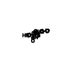 O=COC(CC1CCNCC1)c1ncnc(Nc2ccc(C3CCCCC3)cc2)c1[N+](=O)[O-]